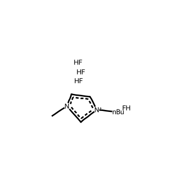 CCCC[n+]1ccn(C)c1.F.F.F.F